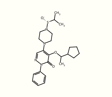 CC(Oc1c(N2CCN([S@+]([O-])C(C)C)CC2)cnn(-c2ccccc2)c1=O)C1CCCC1